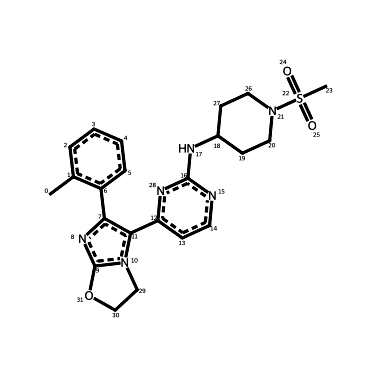 Cc1ccccc1-c1nc2n(c1-c1ccnc(NC3CCN(S(C)(=O)=O)CC3)n1)CCO2